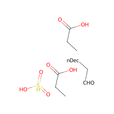 CCC(=O)O.CCC(=O)O.CCCCCCCCCCCC=O.O=[SH](=O)O